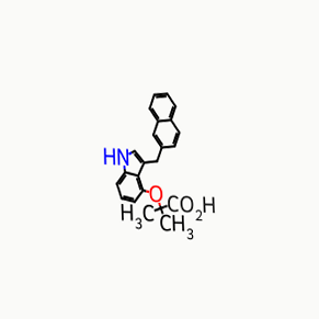 CC(C)(Oc1cccc2[nH]cc(Cc3ccc4ccccc4c3)c12)C(=O)O